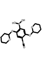 O=Bc1cc(OC2CCCCO2)c(B(O)O)cc1OC1CCCCO1